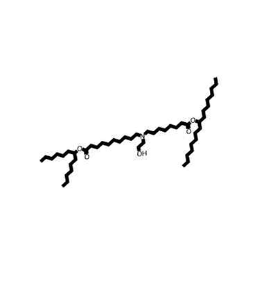 CCCCCCCCC(CCCCCCCC)OC(=O)CCCCCCCN(CCO)CCCCCCCCCC(=O)OC(CCCCCC)CCCCCC